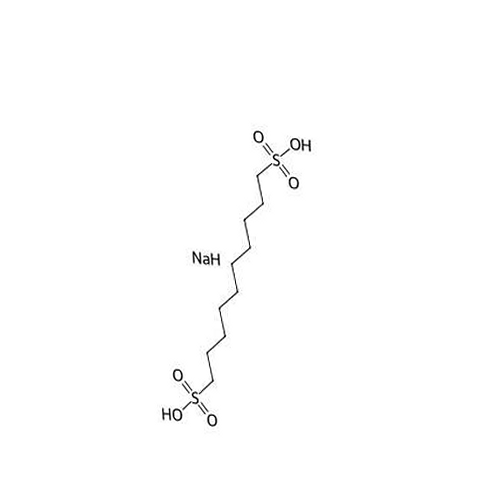 O=S(=O)(O)CCCCCCCCCCS(=O)(=O)O.[NaH]